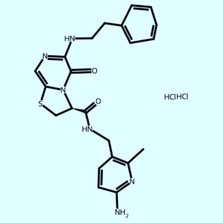 Cc1nc(N)ccc1CNC(=O)[C@H]1CSc2cnc(NCCc3ccccc3)c(=O)n21.Cl.Cl